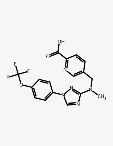 CN(Cc1ccc(C(=O)O)nc1)c1ncn(-c2ccc(OC(F)(F)F)cc2)n1